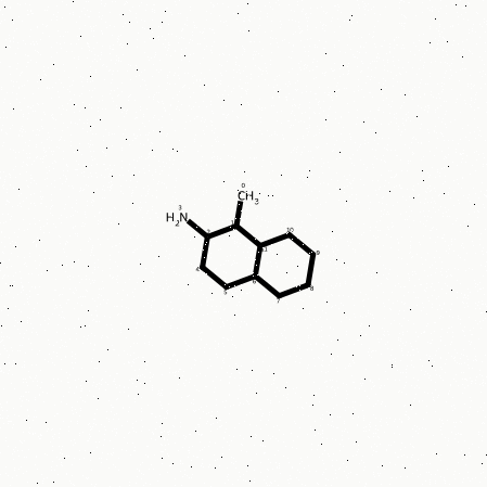 CC1C(N)CCC2CCCCC21